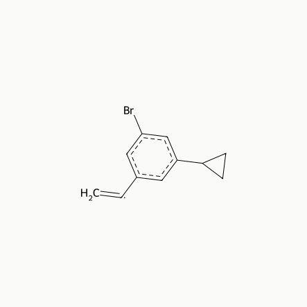 C=[C]c1cc(Br)cc(C2CC2)c1